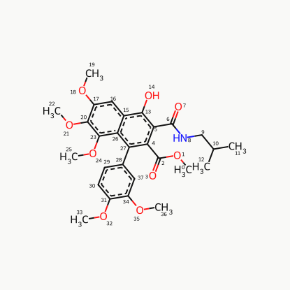 COC(=O)c1c(C(=O)NCC(C)C)c(O)c2cc(OC)c(OC)c(OC)c2c1-c1ccc(OC)c(OC)c1